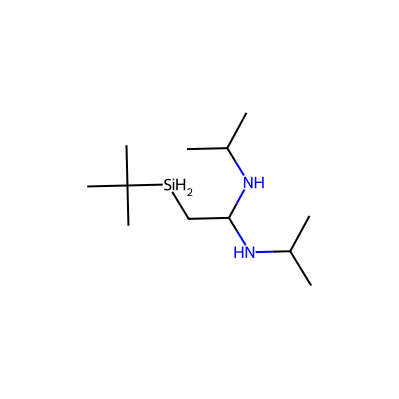 CC(C)NC(C[SiH2]C(C)(C)C)NC(C)C